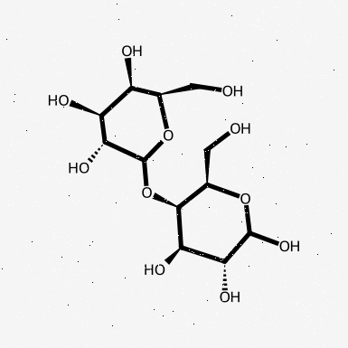 OC[C@H]1OC(O[C@@H]2[C@H](O)[C@@H](O)C(O)O[C@@H]2CO)[C@H](O)[C@@H](O)[C@H]1O